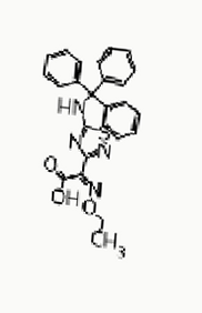 CCO/N=C(\C(=O)O)c1nsc(NC(c2ccccc2)(c2ccccc2)c2ccccc2)n1